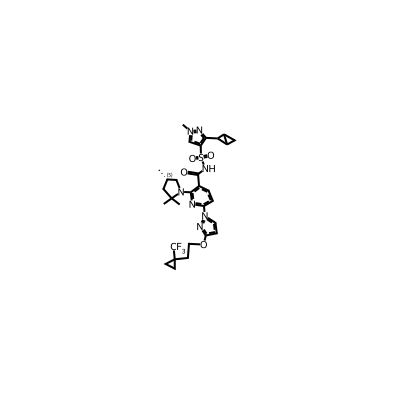 C[C@@H]1CN(c2nc(-n3ccc(OCCC4(C(F)(F)F)CC4)n3)ccc2C(=O)NS(=O)(=O)c2cn(C)nc2C2C3CC32)C(C)(C)C1